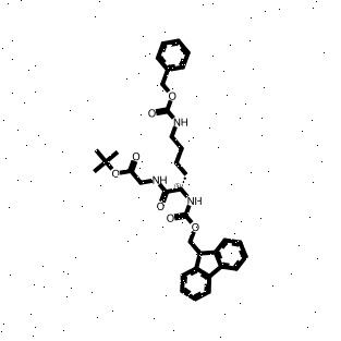 CC(C)(C)OC(=O)CNC(=O)[C@H](CCCCNC(=O)OCc1ccccc1)NC(=O)OCC1c2ccccc2-c2ccccc21